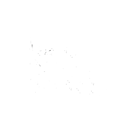 CN(c1ccc(-c2ccc(-n3cccn3)c3nnn(COCC[Si](C)(C)C)c23)nn1)[C@@H]1C[C@H]2CC[C@@H](C1)N2C(=O)O